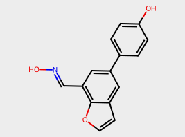 O/N=C/c1cc(-c2ccc(O)cc2)cc2ccoc12